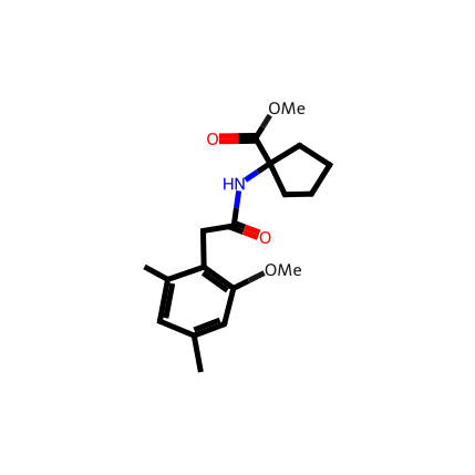 COC(=O)C1(NC(=O)Cc2c(C)cc(C)cc2OC)CCCC1